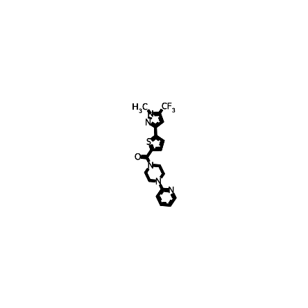 Cn1nc(-c2ccc(C(=O)N3CCN(c4ccccn4)CC3)s2)cc1C(F)(F)F